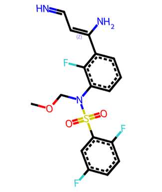 COCN(c1cccc(/C(N)=C/C=N)c1F)S(=O)(=O)c1cc(F)ccc1F